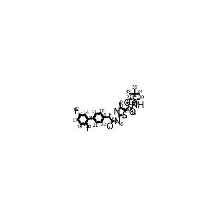 Cc1nc(N(C)C(=O)Cc2ccc(-c3cc(F)ccc3F)cc2)sc1S(=O)(=O)NS(C)(C)C(C)(C)C